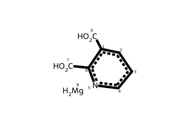 O=C(O)c1cccnc1C(=O)O.[MgH2]